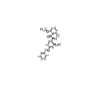 COc1cccc(Cl)c1C(=O)Pc1ccc(OCc2ccccc2)cc1.[LiH]